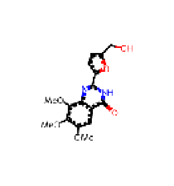 COc1cc2c(=O)[nH]c(-c3ccc(CO)o3)nc2c(OC)c1OC